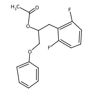 CC(=O)OC(COc1ccccc1)Cc1c(F)cccc1F